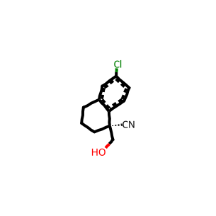 N#C[C@]1(CO)CCCc2cc(Cl)ccc21